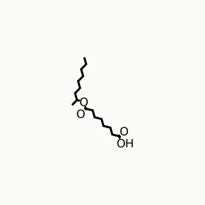 CCCCCCCC(C)OC(=O)CCCCCCC(=O)O